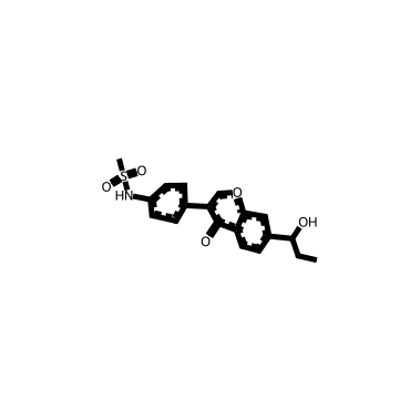 CCC(O)c1ccc2c(=O)c(-c3ccc(NS(C)(=O)=O)cc3)coc2c1